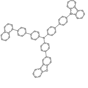 c1ccc2c(-c3ccc(-c4ccc(N(c5ccc(-c6ccc(-n7c8ccccc8c8ccccc87)cc6)cc5)c5ccc(-c6ccc7oc8ccccc8c7c6)cc5)cc4)cc3)cccc2c1